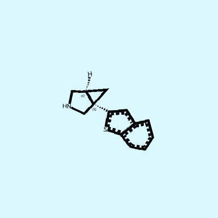 c1ccc2sc([C@]34CNC[C@H]3C4)cc2c1